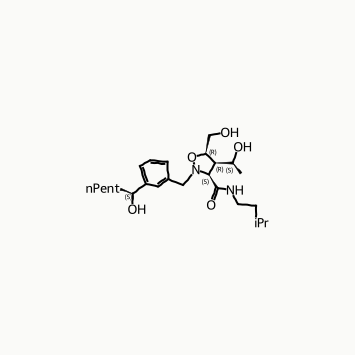 CCCCC[C@H](O)c1cccc(CN2O[C@@H](CO)[C@@H]([C@H](C)O)[C@H]2C(=O)NCCC(C)C)c1